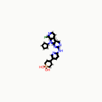 OS1(O)CC=C(c2ccc(Nc3ncc4c5ccnc(F)c5n(C5CCCC5)c4n3)nc2)CC1